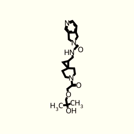 CC(C)(O)COCC(=O)N1CCC2(CC1)CC2CNC(=O)N1Cc2ccncc2C1